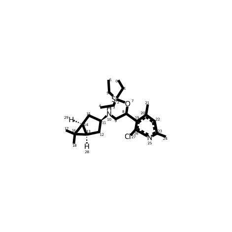 CC[Si](CC)(CC)OC(CN[C@H]1C[C@@H]2[C@H](C1)C2(C)C)c1c(C)cc(C)nc1Cl